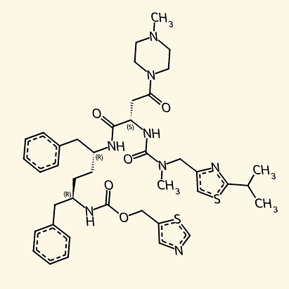 CC(C)c1nc(CN(C)C(=O)N[C@@H](CC(=O)N2CCN(C)CC2)C(=O)N[C@H](CC[C@H](Cc2ccccc2)NC(=O)OCc2cncs2)Cc2ccccc2)cs1